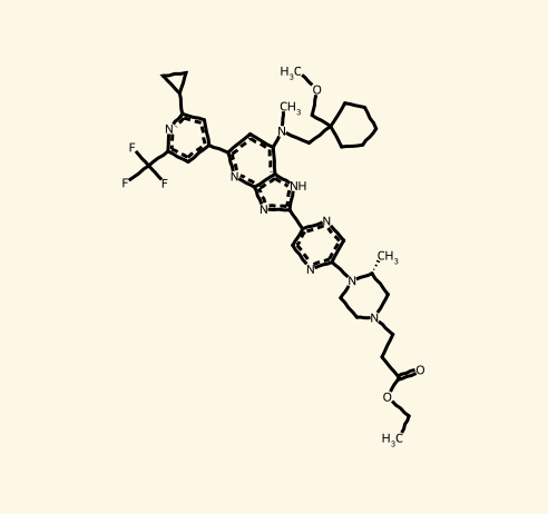 CCOC(=O)CCN1CCN(c2cnc(-c3nc4nc(-c5cc(C6CC6)nc(C(F)(F)F)c5)cc(N(C)CC5(COC)CCCCC5)c4[nH]3)cn2)[C@H](C)C1